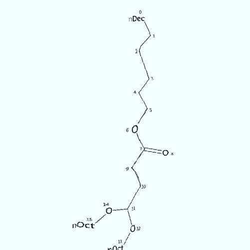 CCCCCCCCCCCCCCCOC(=O)CCC(OCCCCCCCC)OCCCCCCCC